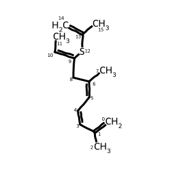 C=C(C)/C=C\C=C(\C)C/C(=C/C)SC(=C)C